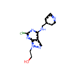 OCCn1ncc2c(NCc3ccncc3)nc(Cl)nc21